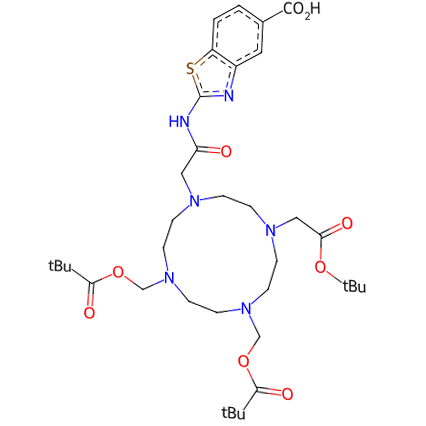 CC(C)(C)OC(=O)CN1CCN(COC(=O)C(C)(C)C)CCN(COC(=O)C(C)(C)C)CCN(CC(=O)Nc2nc3cc(C(=O)O)ccc3s2)CC1